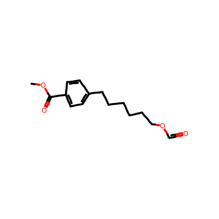 COC(=O)c1ccc(CCCCCCO[C]=O)cc1